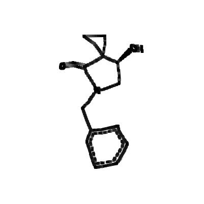 O=C1N(Cc2ccccc2)C[C@H](O)C12CC2